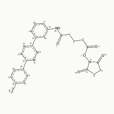 O=C(CCCC(=O)ON1C(=O)CCC1=O)Nc1cccc(-c2nnc(-c3ccc(C(F)(F)F)cc3)nn2)c1